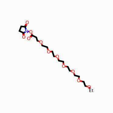 CCOCCOCCOCCOCCOCCOCCOCCC(=O)ON1C(=O)CCC1=O